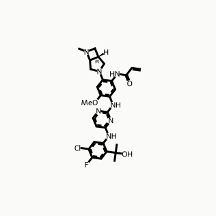 C=CC(=O)Nc1cc(Nc2nccc(Nc3cc(Cl)c(F)cc3C(C)(C)O)n2)c(OC)cc1N1CC2[C@@H](C1)CN2C